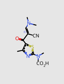 Cc1nc(N(C)C(=O)O)sc1C(=O)/C(C#N)=C/N(C)C